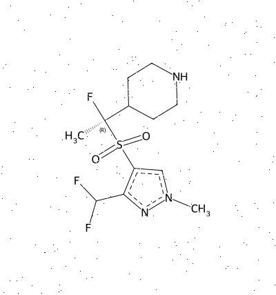 Cn1cc(S(=O)(=O)[C@@](C)(F)C2CCNCC2)c(C(F)F)n1